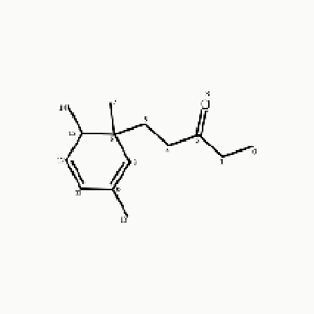 CCC(=O)CCC1(C)C=C(C)C=CC1C